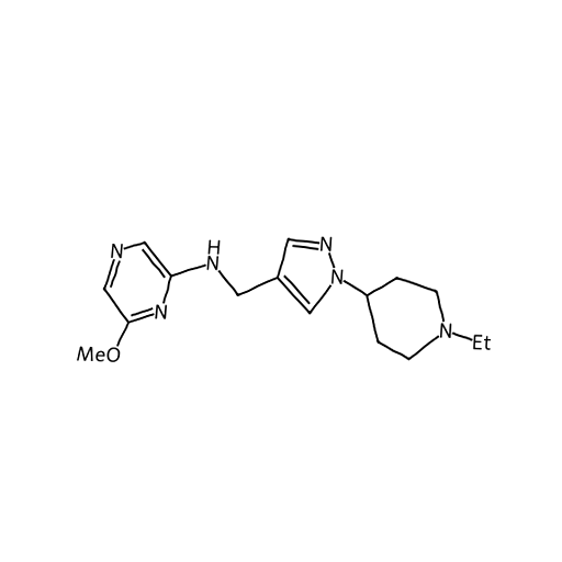 CCN1CCC(n2cc(CNc3cncc(OC)n3)cn2)CC1